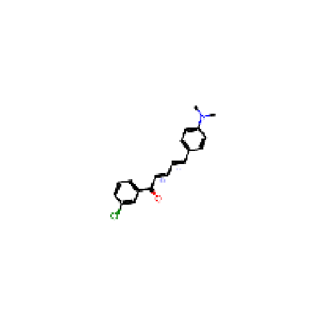 CN(C)c1ccc(/C=C/C=C/C(=O)c2cccc(Cl)c2)cc1